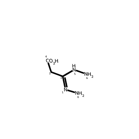 N/N=C(/CC(=O)O)NN